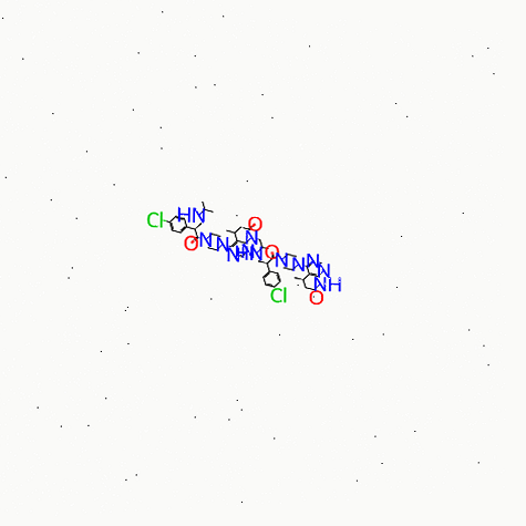 CC(C)NC[C@@H](C(=O)N1CCN(c2ncnc3c2C(C)CC(=O)N3CC(C)NC[C@@H](C(=O)N2CCN(c3ncnc4c3[C@H](C)CC(=O)N4)CC2)c2ccc(Cl)cc2)CC1)c1ccc(Cl)cc1